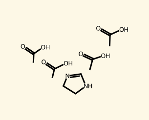 C1=NCCN1.CC(=O)O.CC(=O)O.CC(=O)O.CC(=O)O